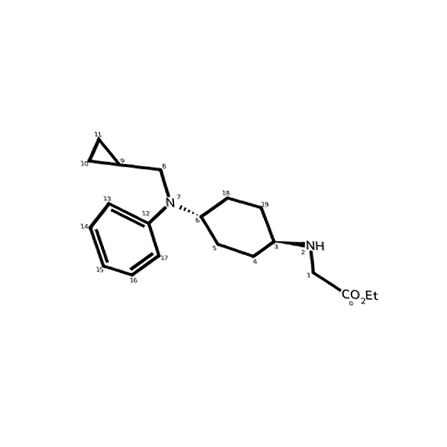 CCOC(=O)CN[C@H]1CC[C@H](N(CC2CC2)c2ccccc2)CC1